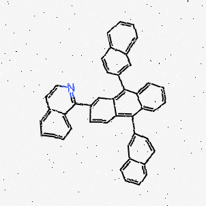 c1ccc2cc(-c3c4ccccc4c(-c4ccc5ccccc5c4)c4cc(-c5nccc6ccccc56)ccc34)ccc2c1